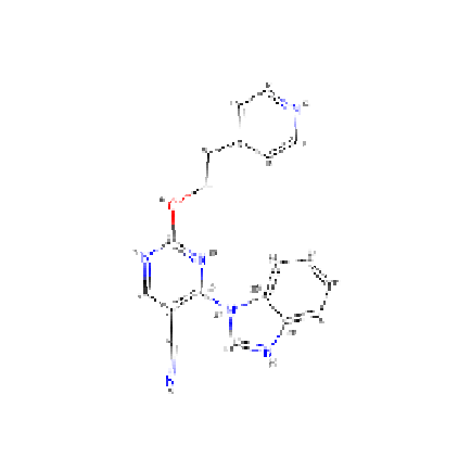 N#Cc1cnc(OCCc2ccncc2)nc1-n1cnc2ccccc21